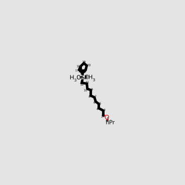 CCCOCCCCCCCCCCC[Si](C)(C)C1CC2CCC1C2